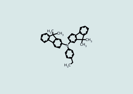 CCc1ccc(N(c2ccc3c(c2)C(C)(C)c2ccccc2-3)c2ccc3c(c2)C(C)(C)c2ccccc2-3)cc1